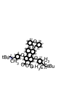 C/C(=C\C(C)(C)C)c1ccc(Oc2cc3c4c(cc(Oc5ccc(C(C)(C)CC(C)(C)C)cc5)c5c6ccc(N7c8ccccc8Oc8ccccc87)c7cccc(c2c45)c76)C(=O)OC3=O)cc1